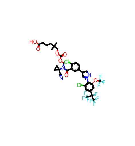 CC(C)(CCCC(=O)O)COC(=O)OCN(C(=O)c1cc(-c2cnn(-c3c(Cl)cc(C(F)(C(F)(F)F)C(F)(F)F)cc3OC(F)(F)F)c2)ccc1Cl)C1(C#N)CC1